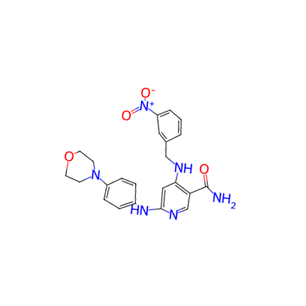 NC(=O)c1cnc(Nc2ccc(N3CCOCC3)cc2)cc1NCc1cccc([N+](=O)[O-])c1